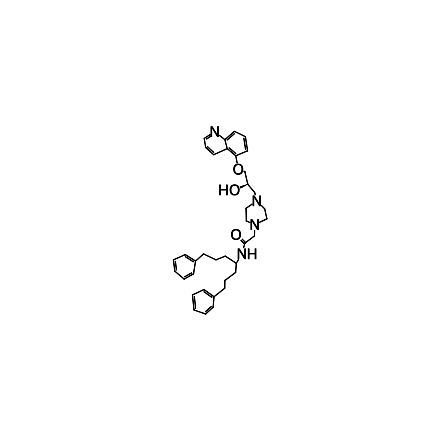 O=C(CN1CCN(C[C@@H](O)COc2cccc3ncccc23)CC1)NC(CCCc1ccccc1)CCCc1ccccc1